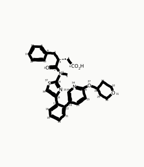 CN(C(=O)[C@@H](CC(=O)O)Cc1ccccc1)c1nc(-c2ccccc2-c2ccc(OC3CCOCC3)nc2)cs1